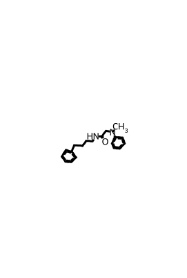 CN(CC(=O)NCCCCc1ccccc1)c1ccccc1